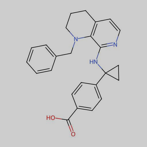 O=C(O)c1ccc(C2(Nc3nccc4c3N(Cc3ccccc3)CCC4)CC2)cc1